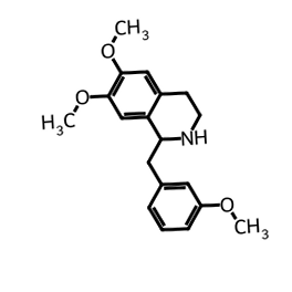 COc1cccc(CC2NCCc3cc(OC)c(OC)cc32)c1